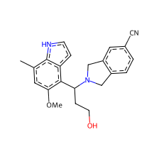 COc1cc(C)c2[nH]ccc2c1C(CCO)N1Cc2ccc(C#N)cc2C1